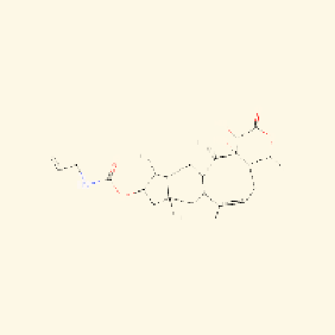 C=CCNC(=O)OC1CC2(C)CC3C(C)=CCC4C(C)OC(=O)C(O)C4(O)C(=C)C3CC2C1C(C)C